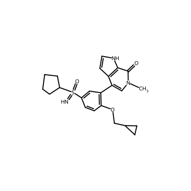 Cn1cc(-c2cc(S(=N)(=O)C3CCCC3)ccc2OCC2CC2)c2cc[nH]c2c1=O